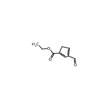 CCOC(=O)C1=CC(C=O)=CC1